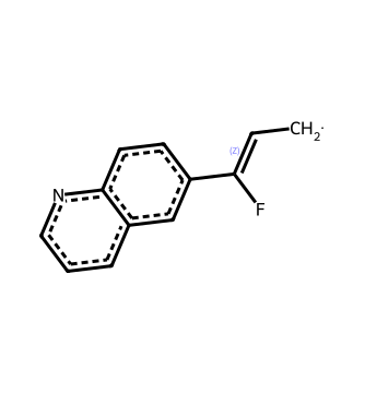 [CH2]/C=C(\F)c1ccc2ncccc2c1